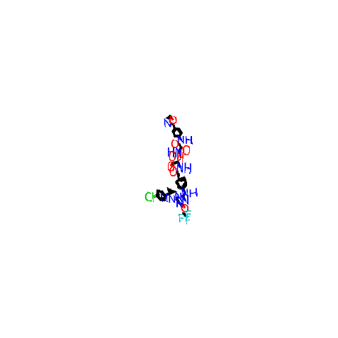 O=C(NC[C@H](NC(=O)c1ccc(Nc2nc(NC3(c4ccc(Cl)cc4)CC3)nc(OCC(F)(F)F)n2)cc1)C(=O)O)C(=O)Nc1ccc(-c2ncco2)cc1